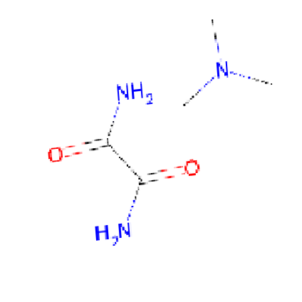 CN(C)C.NC(=O)C(N)=O